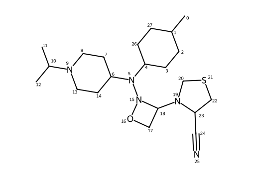 CC1CCC(N(C2CCN(C(C)C)CC2)N2OCC2N2CSCC2C#N)CC1